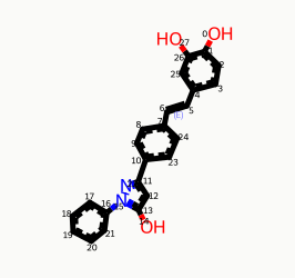 Oc1ccc(/C=C/c2ccc(-c3cc(O)n(-c4ccccc4)n3)cc2)cc1O